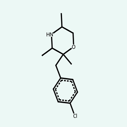 CC1COC(C)(Cc2ccc(Cl)cc2)C(C)N1